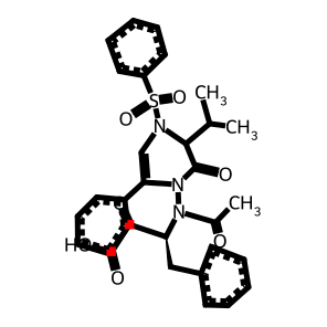 CC(=O)N([C@@H](Cc1ccccc1)C(=O)C(=O)O)N1C(=O)C(C(C)C)N(S(=O)(=O)c2ccccc2)C=C1c1ccccc1